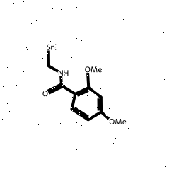 COc1ccc(C(=O)N[CH2][Sn])c(OC)c1